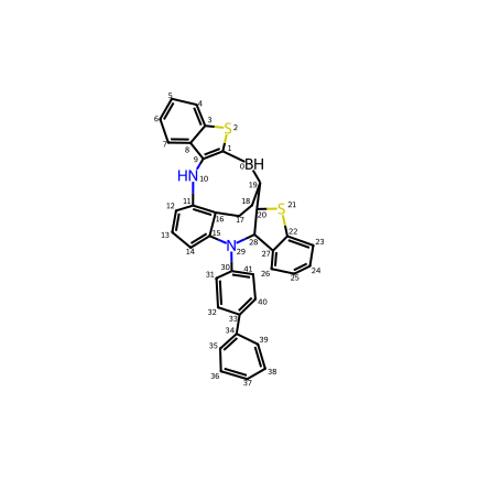 B1c2sc3ccccc3c2Nc2cccc3c2CCC1C1Sc2ccccc2C1N3c1ccc(-c2ccccc2)cc1